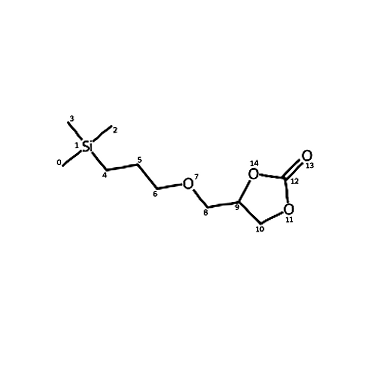 C[Si](C)(C)CCCOCC1COC(=O)O1